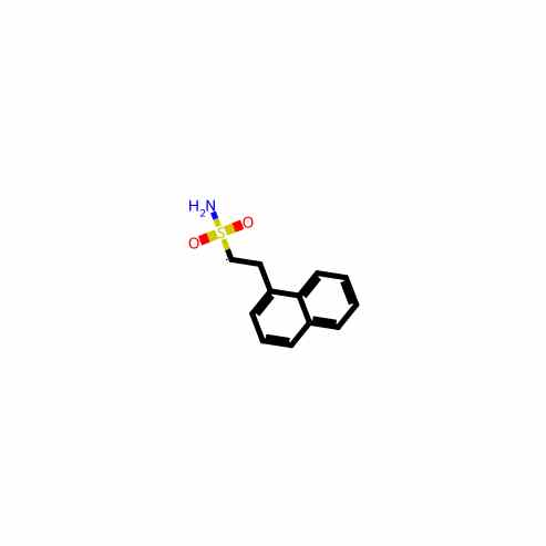 NS(=O)(=O)[CH]Cc1cccc2ccccc12